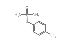 NP(N)(=O)Sc1ccc(C(F)(F)F)cc1